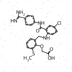 CSc1cccc(CNc2ccc(Cl)cc2C(=O)Nc2ccc(C(=N)N)cc2)c1OCC(=O)O